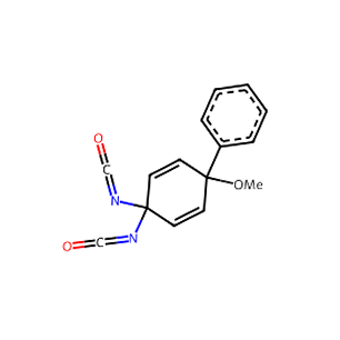 COC1(c2ccccc2)C=CC(N=C=O)(N=C=O)C=C1